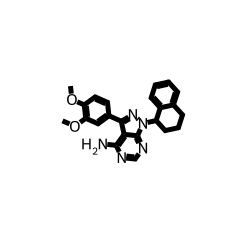 COc1ccc(-c2nn(C3CCCc4ccccc43)c3ncnc(N)c23)cc1OC